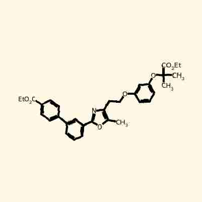 CCOC(=O)c1ccc(-c2cccc(-c3nc(CCOc4cccc(OC(C)(C)C(=O)OCC)c4)c(C)o3)c2)cc1